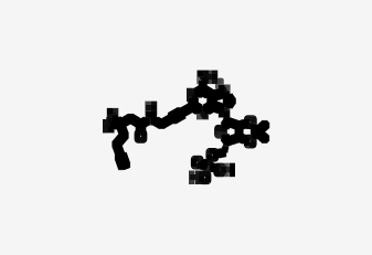 C#CCCC1(CC(=O)NCC#Cc2nc(N)c3ncn([C@H]4O[C@@H](COP(=O)(O)O)C5OC(C)(C)OC54)c3n2)N=N1